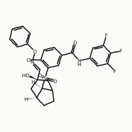 O=C(Nc1cc(F)c(F)c(F)c1)c1ccc(Cl)c(S(=O)(=O)[C@H]2C3CC[C@H]2C[C@](O)(/C=N/Oc2ccccc2)C3)c1